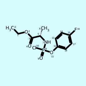 CCOC(=O)[C@H](C)NP(=O)(Cl)Oc1ccc(F)cc1